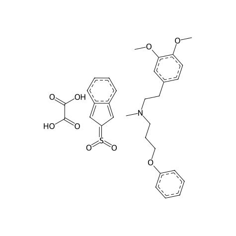 COc1ccc(CCN(C)CCCOc2ccccc2)cc1OC.O=C(O)C(=O)O.O=S(=O)=C1C=c2ccccc2=C1